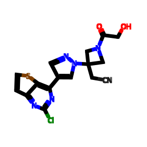 N#CCC1(n2cc(-c3nc(Cl)nc4ccsc34)cn2)CN(C(=O)CO)C1